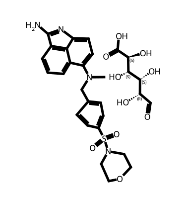 CN(Cc1ccc(S(=O)(=O)N2CCOCC2)cc1)c1ccc2c3c(cccc13)C(N)=N2.O=C[C@H](O)[C@@H](O)[C@H](O)[C@H](O)C(=O)O